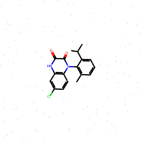 Cc1cccc(C(C)C)c1-n1c(=O)c(=O)[nH]c2cc(Cl)ccc21